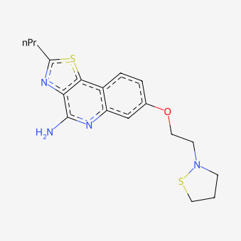 CCCc1nc2c(N)nc3cc(OCCN4CCCS4)ccc3c2s1